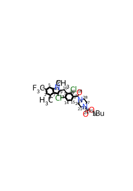 Cc1cc(C(F)(F)F)cc2c1cc(Cc1c(Cl)ccc(C(=O)N3CCN(C(=O)OC(C)(C)C)CC3)c1Cl)n2C